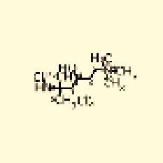 CC(C)(CC(O)CC[N+](C)(C)C)NCl.[Cl-]